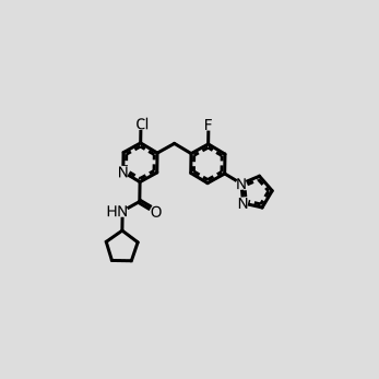 O=C(NC1CCCC1)c1cc(Cc2ccc(-n3cccn3)cc2F)c(Cl)cn1